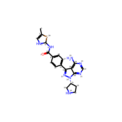 CC1=CNC(NC(=O)c2ccc(-c3nn([C@@H]4CCNC4)c4ncnc(N)c34)cc2)S1